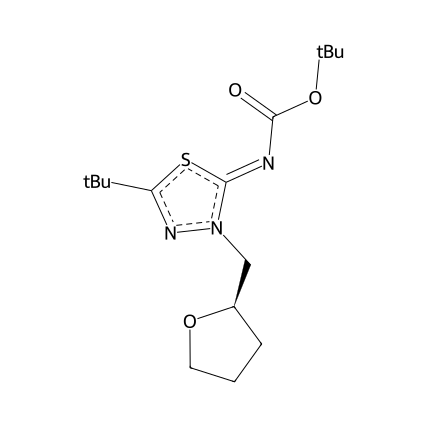 CC(C)(C)OC(=O)/N=c1\sc(C(C)(C)C)nn1C[C@H]1CCCO1